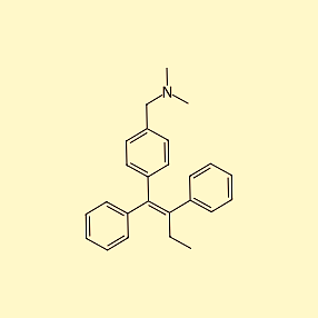 CC/C(=C(\c1ccccc1)c1ccc(CN(C)C)cc1)c1ccccc1